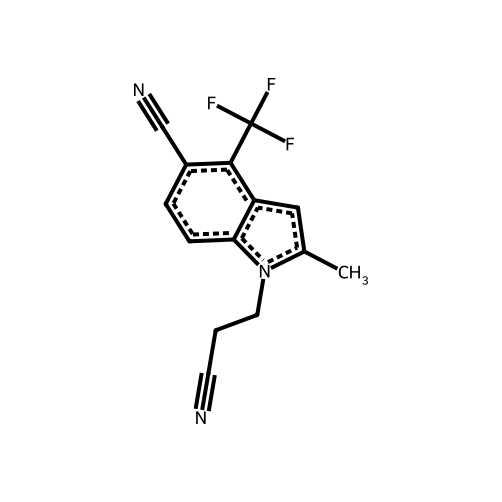 Cc1cc2c(C(F)(F)F)c(C#N)ccc2n1CCC#N